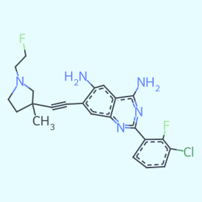 CC1(C#Cc2cc3nc(-c4cccc(Cl)c4F)nc(N)c3cc2N)CCN(CCF)C1